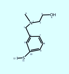 CN(CCO)Cc1cccc(SI)c1